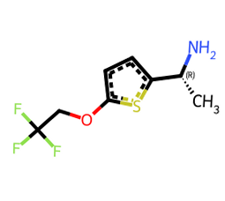 C[C@@H](N)c1ccc(OCC(F)(F)F)s1